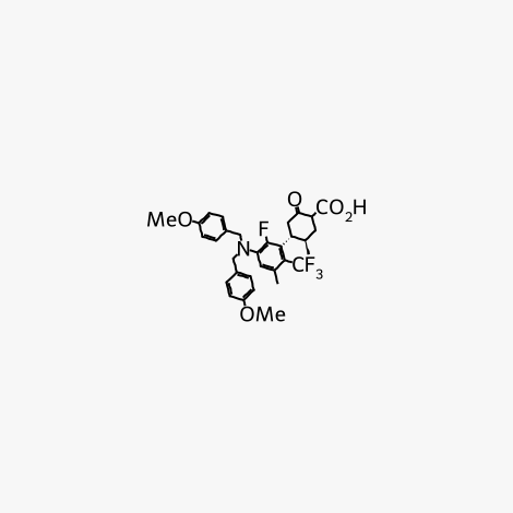 COc1ccc(CN(Cc2ccc(OC)cc2)c2cc(C)c(C(F)(F)F)c([C@@H]3CC(=O)C(C(=O)O)C[C@H]3C)c2F)cc1